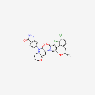 NC(=O)c1ccc(NC(=O)[C@H](C[C@@H]2CCCCO2)n2cc3c(cc2=O)-c2c(ccc(Cl)c2F)CC(C(F)(F)F)OC3)cc1